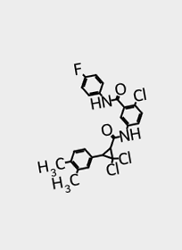 Cc1ccc(C2C(C(=O)Nc3ccc(Cl)c(C(=O)Nc4ccc(F)cc4)c3)C2(Cl)Cl)cc1C